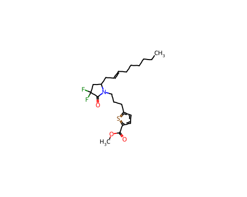 CCCCCC/C=C/CC1CC(F)(F)C(=O)N1CCCc1ccc(C(=O)OC)s1